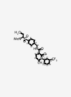 C=CC(NC)S(=O)(=O)c1ccc(CNC(=O)c2ccc(C)n(-c3cccc(C(F)(F)F)c3)c2=O)cc1